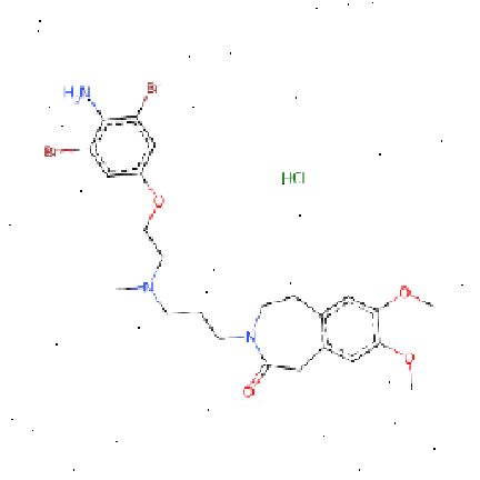 COc1cc2c(cc1OC)CC(=O)N(CCCN(C)CCOc1cc(Br)c(N)c(Br)c1)CC2.Cl